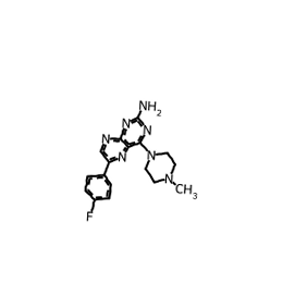 CN1CCN(c2nc(N)nc3ncc(-c4ccc(F)cc4)nc23)CC1